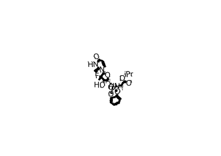 C=C1NC(=O)C=CN1[C@@H]1O[C@H](COP(=O)(N[C@@H](C)C(=O)OC(C)C)Oc2ccccc2)[C@H](O)C1(C)F